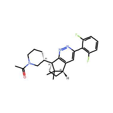 CC(=O)N1CCC[C@H]([C@@]23CC[C@@H](c4cc(-c5c(F)cccc5F)nnc42)C3(C)C)C1